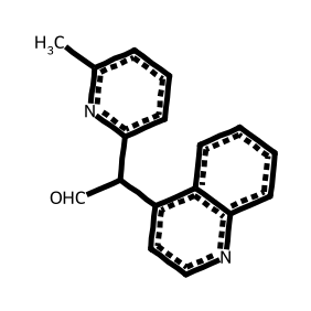 Cc1cccc(C(C=O)c2ccnc3ccccc23)n1